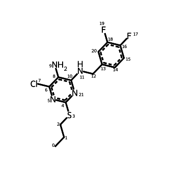 CCCSc1nc(Cl)c(N)c(NCc2ccc(F)c(F)c2)n1